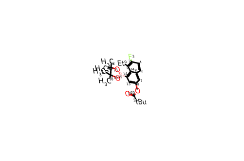 CCc1c(F)ccc2cc(OC(=O)C(C)(C)C)cc(B3OC(C)(C)C(C)(C)O3)c12